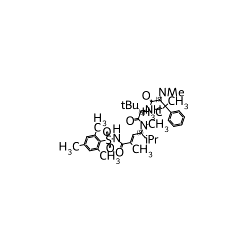 CN[C@H](C(=O)N[C@H](C(=O)N(C)[C@H](C=C(C)C(=O)NS(=O)(=O)c1c(C)cc(C)cc1C)C(C)C)C(C)(C)C)C(C)(C)c1ccccc1